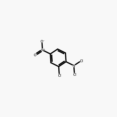 O=[N+]([O-])c1ccc(N(Cl)Cl)c(Cl)c1